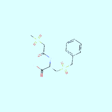 CS(=O)(=O)CC(=O)N[C@@H](CS(=O)(=O)Cc1ccccc1)C(=O)O